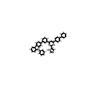 c1ccc(-c2ccc(-c3cc(-c4cccc(-c5ccc6c7ccccc7n(-c7ccccc7)c6c5)c4)nc(-c4cnc[nH]4)n3)cc2)cc1